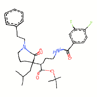 CC(C)CC1(C(CCNC(=O)c2ccc(F)c(F)c2)C(=O)OC(C)(C)C)CCN(CCc2ccccc2)C1=O